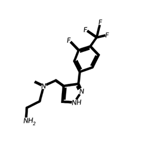 CN(CCN)Cc1c[nH]nc1-c1ccc(C(F)(F)F)c(F)c1